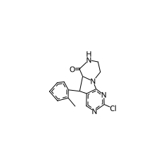 Cc1ccccc1C1c2cnc(Cl)nc2N2CCNC(=O)C12